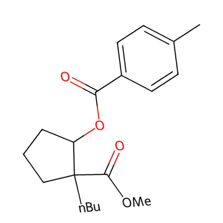 CCCCC1(C(=O)OC)CCCC1OC(=O)c1ccc(C)cc1